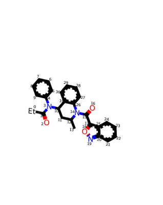 CCC(=O)N(c1ccccc1)C1CC(C)N(C(=O)c2onc3ccccc23)c2ccccc21